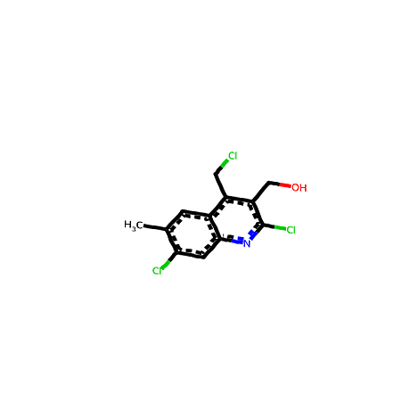 Cc1cc2c(CCl)c(CO)c(Cl)nc2cc1Cl